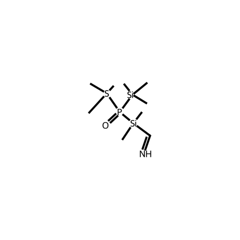 C[Si](C)(C)P(=O)([Si](C)(C)C=N)S(C)(C)C